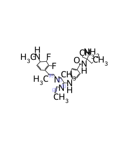 C\C=C/N=C(Nc1ccc(C(=O)NC(CC)(CC)CN)cc1)\C(C)=N\C=C(/C)C1=C(F)C(F)C(NC)C=C1